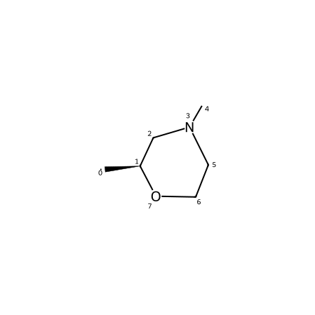 [CH2][C@H]1CN(C)CCO1